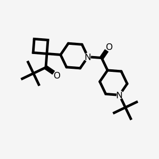 CC(C)(C)C(=O)C1(C2CCN(C(=O)C3CCN(C(C)(C)C)CC3)CC2)CCC1